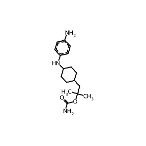 CC(C)(CC1CCC(Nc2ccc(N)cc2)CC1)OC(N)=O